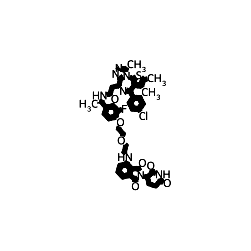 Cc1sc2c(c1C)C(c1ccc(Cl)cc1)=NC(CC(=O)N[C@@H](C)c1ccc(OCCOCCNc3cccc4c3C(=O)N(C3CCC(=O)NC3=O)C4=O)c(F)c1)c1nnc(C)n1-2